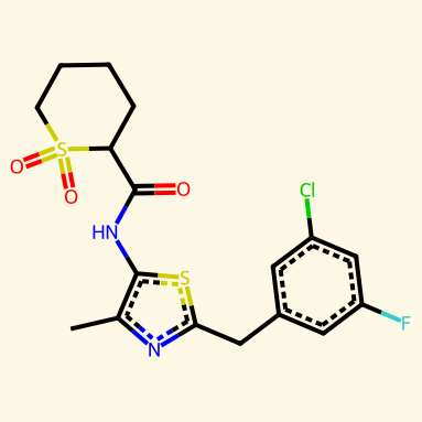 Cc1nc(Cc2cc(F)cc(Cl)c2)sc1NC(=O)C1CCCCS1(=O)=O